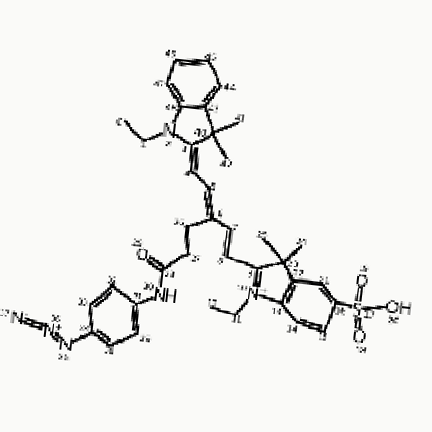 CCN1/C(=C/C=C(/C=C/C2=[N+](CC)c3ccc(S(=O)(=O)O)cc3C2(C)C)CCC(=O)Nc2ccc(N=[N+]=[N-])cc2)C(C)(C)c2ccccc21